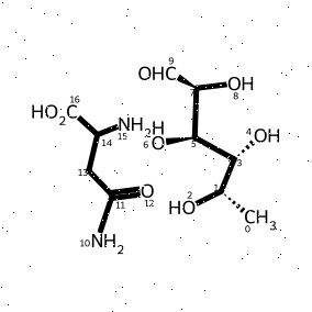 C[C@H](O)[C@@H](O)[C@@H](O)[C@H](O)C=O.NC(=O)CC(N)C(=O)O